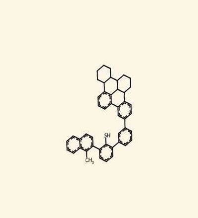 Cc1c(-c2cccc(-c3cccc(-c4ccc5c(c4)-c4cccc6c4C4C5CCCC4C4CCCCC64)c3)c2S)ccc2ccccc12